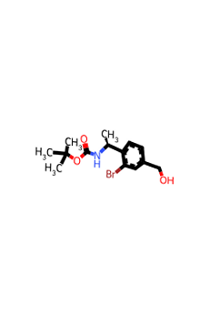 C[C@H](NC(=O)OC(C)(C)C)c1ccc(CO)cc1Br